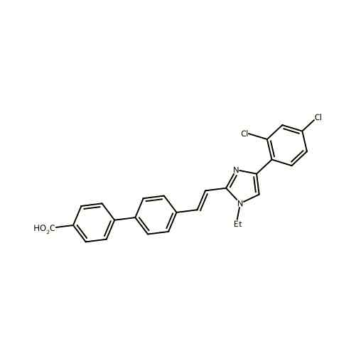 CCn1cc(-c2ccc(Cl)cc2Cl)nc1/C=C/c1ccc(-c2ccc(C(=O)O)cc2)cc1